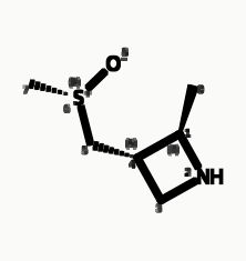 C[C@H]1NC[C@@H]1C[S@+](C)[O-]